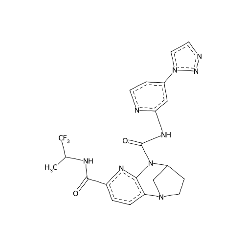 CC(NC(=O)c1ccc2c(n1)N(C(=O)Nc1cc(-n3ccnn3)ccn1)C1CCN2C1)C(F)(F)F